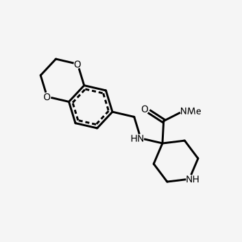 CNC(=O)C1(NCc2ccc3c(c2)OCCO3)CCNCC1